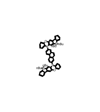 CCCC[Si]1(CCCC)c2ccccc2-c2cc3c(cc21)N(c1ccc2c(ccc4cc(N5c6ccccc6Oc6cc7c(cc65)[Si](CCCC)(CCCC)c5ccccc5-7)ccc42)c1)c1ccccc1O3